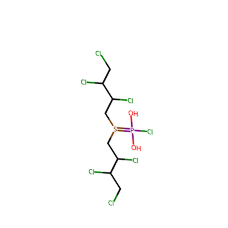 OP(O)(Cl)=S(CC(Cl)C(Cl)CCl)CC(Cl)C(Cl)CCl